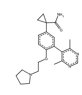 Cc1ncnc(C)c1-c1cc(C2(C(N)=O)CC2)ccc1OCCN1CCCC1